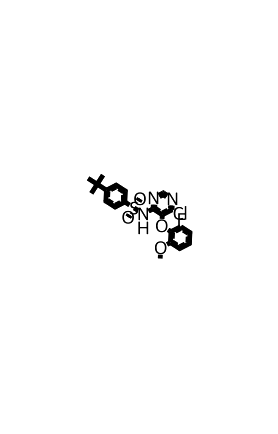 COc1cccc(F)c1Oc1c(Cl)ncnc1NS(=O)(=O)c1ccc(C(C)(C)C)cc1